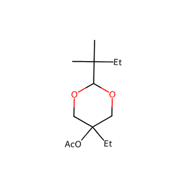 CCC1(OC(C)=O)COC(C(C)(C)CC)OC1